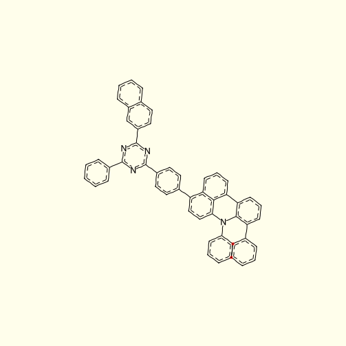 c1ccc(-c2nc(-c3ccc(-c4ccc5c6c(cccc46)-c4cccc(-c6ccccc6)c4N5c4ccccc4)cc3)nc(-c3ccc4ccccc4c3)n2)cc1